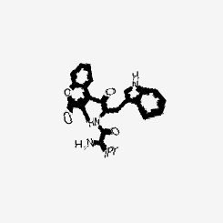 Cc1c(C(=O)C(Cc2c[nH]c3ccccc23)NC(=O)C(N)C(C)C)c2ccccc2oc1=O